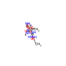 C=Cc1cc(C(=O)Nc2ccc(C(=N)NC(=O)OCCCCCC)cc2)c(-c2ccc(C(=O)NCC3CC3)nc2C(=O)OCOC(=O)CN)cc1OC